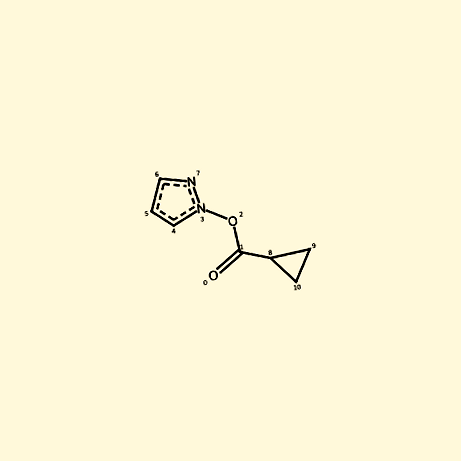 O=C(On1cccn1)C1CC1